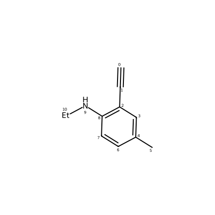 C#Cc1cc(C)ccc1NCC